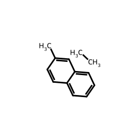 CC.Cc1ccc2ccccc2c1